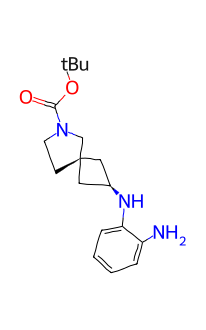 CC(C)(C)OC(=O)N1CC[C@]2(C1)C[C@H](Nc1ccccc1N)C2